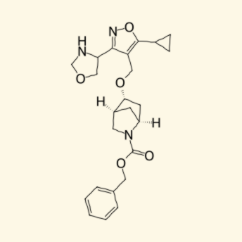 O=C(OCc1ccccc1)N1C[C@@H]2C[C@H]1C[C@H]2OCc1c(C2COCN2)noc1C1CC1